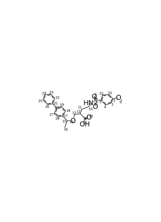 COc1ccc(S(=O)(=O)NCCC(COC(C)c2ccc(-c3ccccc3)cc2)C(=O)O)cc1